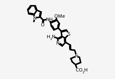 COc1cc(-c2csc3c(/C=C/CN4CCC(C(=O)O)CC4)cnc(N)c23)ccc1NC(=O)c1cc2ccccc2n1C